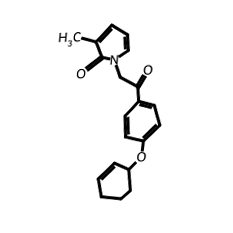 Cc1cccn(CC(=O)c2ccc(OC3C=CCCC3)cc2)c1=O